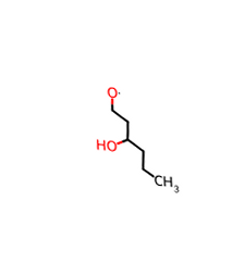 CCCC(O)CC[O]